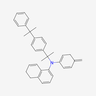 C=C1C=CC(N(c2cccc3c2C=CCC3)C(C)(C)c2ccc(C(C)(C)c3ccccc3)cc2)=CC1